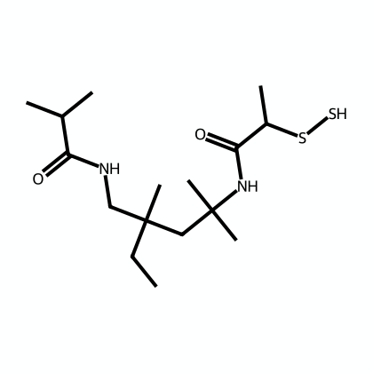 CCC(C)(CNC(=O)C(C)C)CC(C)(C)NC(=O)C(C)SS